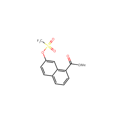 COC(=O)c1cccc2ccc(OS(=O)(=O)C(F)(F)F)cc12